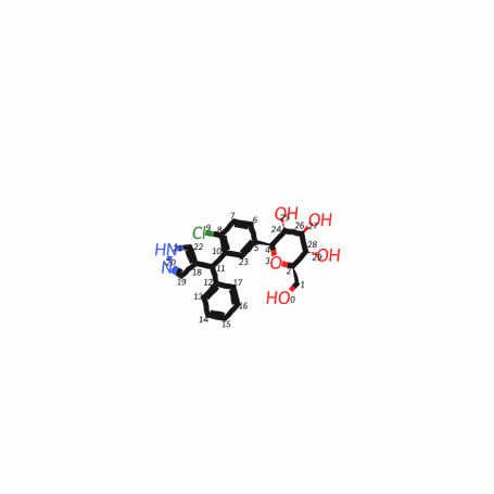 OC[C@H]1O[C@@H](c2ccc(Cl)c(C(c3ccccc3)c3cn[nH]c3)c2)[C@H](O)[C@@H](O)[C@@H]1O